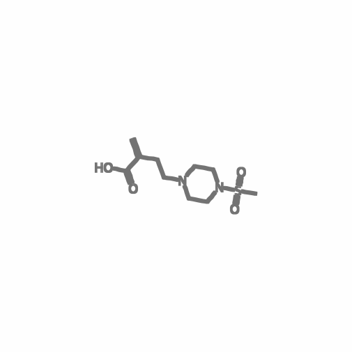 C=C(CCN1CCN(S(C)(=O)=O)CC1)C(=O)O